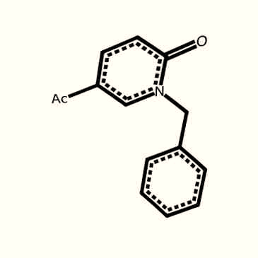 CC(=O)c1ccc(=O)n(Cc2ccccc2)c1